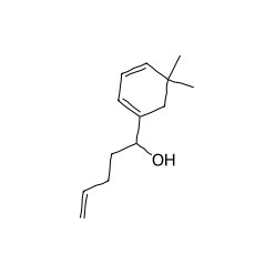 C=CCCC(O)C1=CC=CC(C)(C)C1